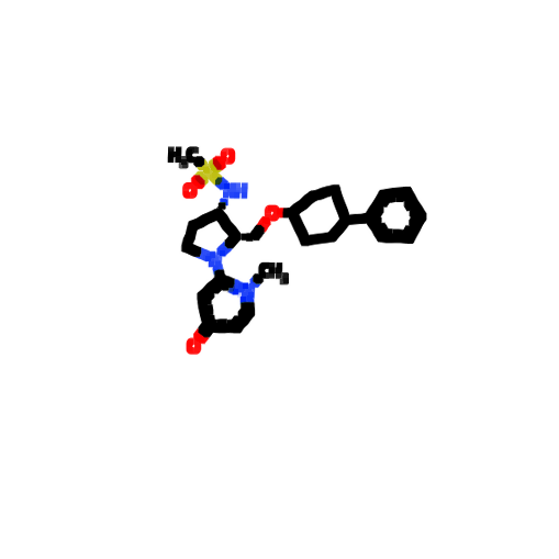 Cn1ccc(=O)cc1N1CC[C@H](NS(C)(=O)=O)[C@@H]1COC1CCC(c2ccccc2)CC1